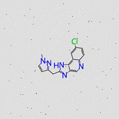 Cn1ccc(Cc2nc3cnc4ccc(Cl)cc4c3[nH]2)n1